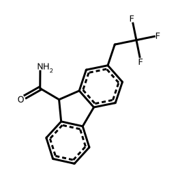 NC(=O)C1c2ccccc2-c2ccc(CC(F)(F)F)cc21